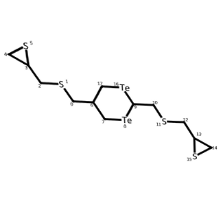 C(SCC1CS1)C1C[Te]C(CSCC2CS2)[Te]C1